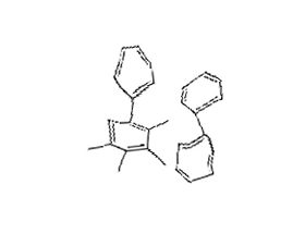 Cc1cc(-c2ccccc2)c(C)c(C)c1C.c1ccc(-c2ccccc2)cc1